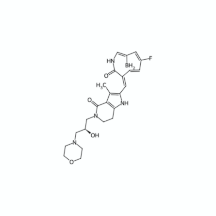 BC1=C\NC(=O)C(=C\c2[nH]c3c(c2C)C(=O)N(C[C@@H](O)CN2CCOCC2)CC3)/C=C/C(F)=C\1